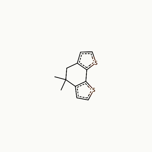 CC1(C)Cc2ccsc2-c2sccc21